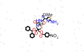 CON=C(C(=O)NC1C(=O)N2CC(COC(=O)c3ccc([N+](=O)[O-])cc3)(C(=O)OC(c3ccccc3)c3ccccc3)CS[C@H]12)c1csc(N)n1